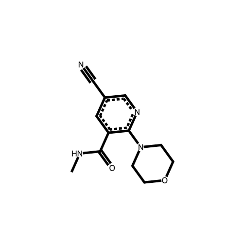 CNC(=O)c1cc(C#N)cnc1N1CCOCC1